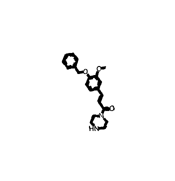 COc1cc(/C=C/C(=O)N2CCNCC2)ccc1OCc1ccccc1